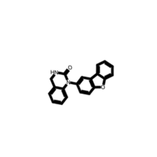 O=C1NCc2ccccc2N1c1[c]c2c(cc1)oc1ccccc12